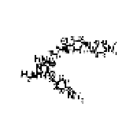 CN(C)c1ccc(N=Nc2ccc(C(=O)NCCCc3nc4c(OCc5ccc(CN)cc5)nc(N)nc4[nH]3)cc2)cc1